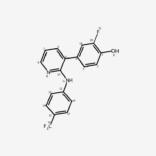 Oc1ccc(-c2cccnc2Nc2ccc(C(F)(F)F)cc2)cc1F